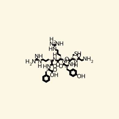 N=C(N)NCCC[C@H](NC(=O)[C@H](CCCNC(=N)N)NC(=O)[C@H](Cc1ccc(O)cc1)NC(=O)[C@H](CS)NC(=O)CN)C(=O)N[C@@H](Cc1ccccc1)C(=O)O